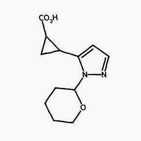 O=C(O)C1CC1c1ccnn1C1CCCCO1